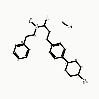 CC#N.CCC(CCc1ccc(C2CCC(C(F)(F)F)CC2)cc1)N(CC)CCc1ccccc1